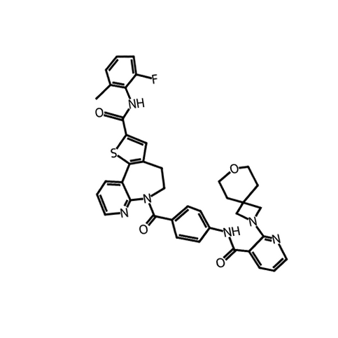 Cc1cccc(F)c1NC(=O)c1cc2c(s1)-c1cccnc1N(C(=O)c1ccc(NC(=O)c3cccnc3N3CC4(CCOCC4)C3)cc1)CC2